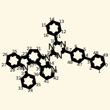 c1ccc(-c2ccc(-c3nc(-c4ccccc4)nc(-n4c5ccc6c7ccccc7n(-c7ccccc7)c6c5c5cccnc54)n3)cc2)cc1